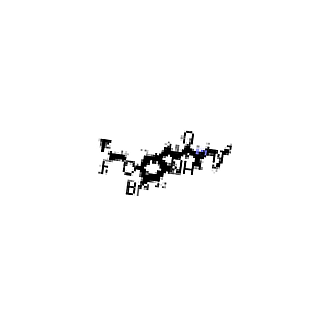 C/C(=C\N(C)C)C(=O)c1cc2cc(OCC(F)F)c(Br)cc2[nH]1